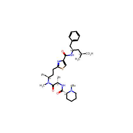 CCCCN1CCCC[C@@H]1C(=O)N[C@H](C(=O)N(C)[C@H](CCc1nc(C(=O)N[C@@H](Cc2ccccc2)C[C@H](C)C(=O)O)cs1)C(C)C)C(C)C